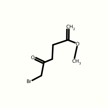 C=C(CCC(=O)CBr)OC